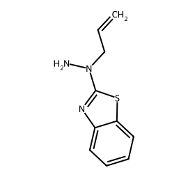 C=CCN(N)c1nc2ccccc2s1